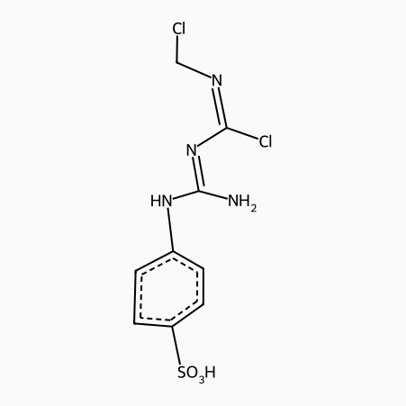 N/C(=N\C(Cl)=N/CCl)Nc1ccc(S(=O)(=O)O)cc1